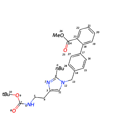 CCCCc1nc(CCNC(=O)OC(C)(C)C)cn1Cc1ccc(-c2ccccc2C(=O)OC)cc1